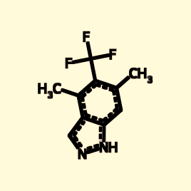 Cc1cc2[nH]ncc2c(C)c1C(F)(F)F